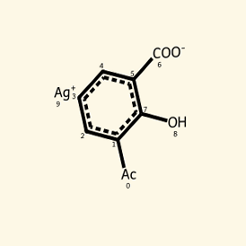 CC(=O)c1cccc(C(=O)[O-])c1O.[Ag+]